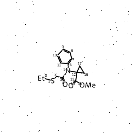 CCSCC(=O)N(c1ccccc1)C1(C(=O)OC)CC1